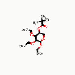 CCC(C)(C)C(=O)OC1COC(OCOCC(C)C)C(OCOCC(C)C)C1OCOCC(C)C